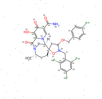 C[C@H]1CC[C@]2(CC(OCc3ccc(F)cc3)N(Cc3c(F)cc(F)cc3F)O2)[C@H]2CN1C(=O)c1c(O)c(=O)c(C(N)=O)cn12